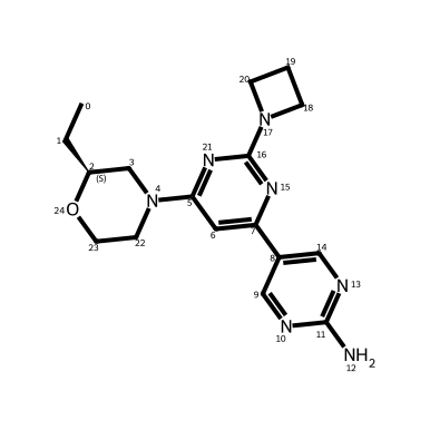 CC[C@H]1CN(c2cc(-c3cnc(N)nc3)nc(N3CCC3)n2)CCO1